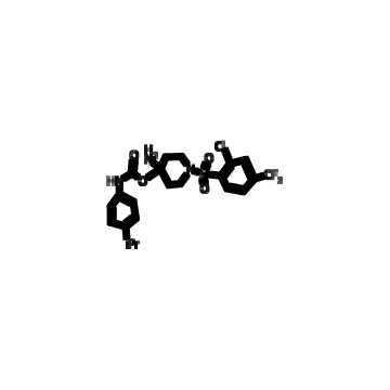 CC(C)c1ccc(NC(=O)OC2(N)CCN(S(=O)(=O)c3ccc(C(F)(F)F)cc3Cl)CC2)cc1